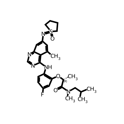 Cc1cc(N=S2(=O)CCCC2)cc2ncnc(Nc3ccc(F)cc3O[C@H](C)C(=O)N(C)CC(C)C)c12